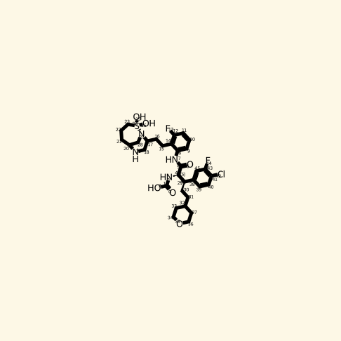 O=C(O)N[C@H](C(=O)Nc1cccc(F)c1CCC1CNC2CCCS(O)(O)N1C2)[C@H](CCC1CCOCC1)c1ccc(Cl)c(F)c1